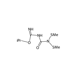 CSN(SC)C(=O)NC(=N)OC(C)C